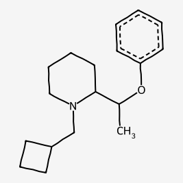 CC(Oc1ccccc1)C1CCCCN1CC1CCC1